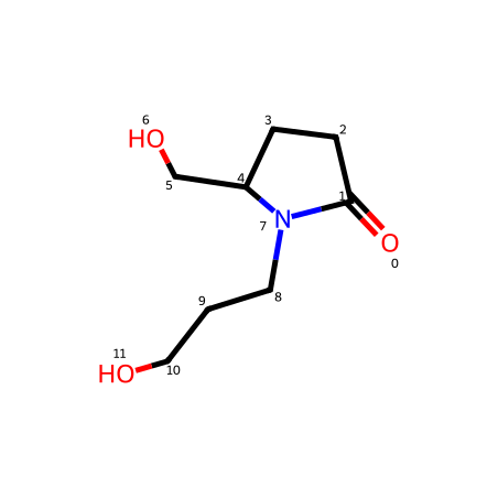 O=C1CCC(CO)N1CCCO